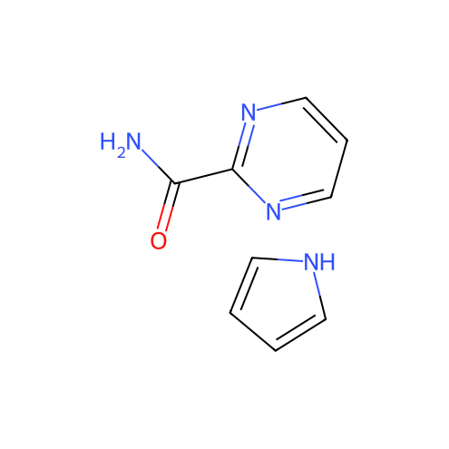 NC(=O)c1ncccn1.c1cc[nH]c1